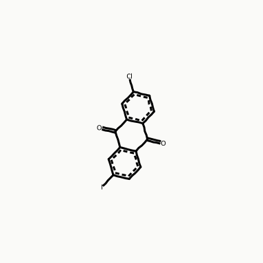 O=C1c2ccc(Cl)cc2C(=O)c2cc(I)ccc21